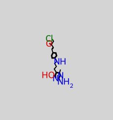 Cc1nc(N)nc(O)c1CCCNc1ccc(C=CC(=O)CCl)cc1